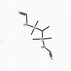 CC([Si](C)(C)NC=S)[Si](C)(C)NC=S